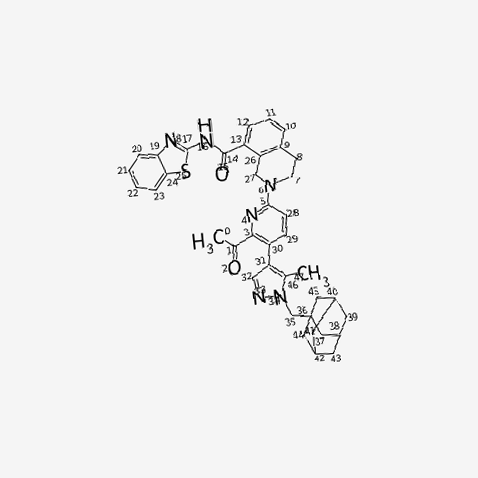 CC(=O)c1nc(N2CCc3cccc(C(=O)Nc4nc5ccccc5s4)c3C2)ccc1-c1cnn(CC23CC4CC(CC(C4)C2)C3)c1C